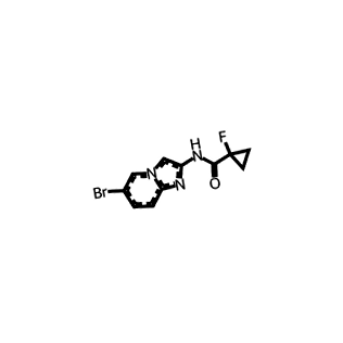 O=C(Nc1cn2cc(Br)ccc2n1)C1(F)CC1